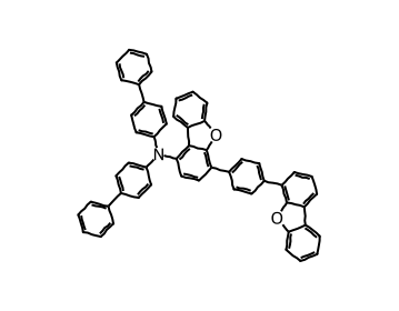 c1ccc(-c2ccc(N(c3ccc(-c4ccccc4)cc3)c3ccc(-c4ccc(-c5cccc6c5oc5ccccc56)cc4)c4oc5ccccc5c34)cc2)cc1